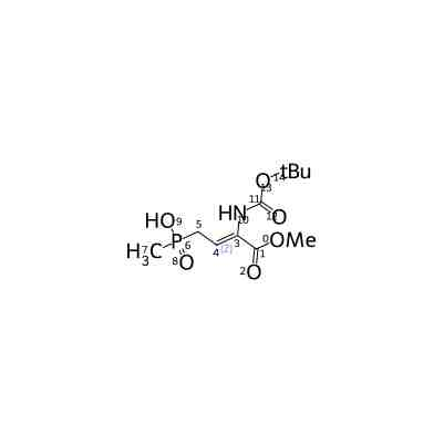 COC(=O)/C(=C/CP(C)(=O)O)NC(=O)OC(C)(C)C